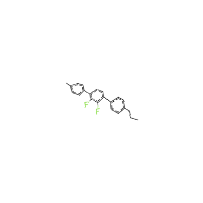 CCCc1ccc(-c2ccc(-c3ccc(C)cc3)c(F)c2F)cc1